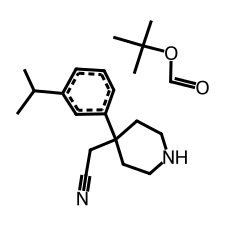 CC(C)(C)OC=O.CC(C)c1cccc(C2(CC#N)CCNCC2)c1